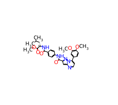 COC(=O)[C@H](CC(C)C)NC(=O)c1ccc(NC(=O)c2cc3nccc(-c4ccc(OC)c(OC)c4)n3n2)cc1